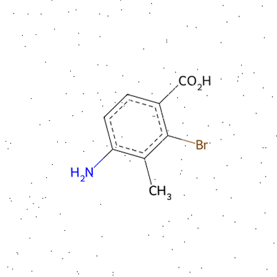 Cc1c(N)ccc(C(=O)O)c1Br